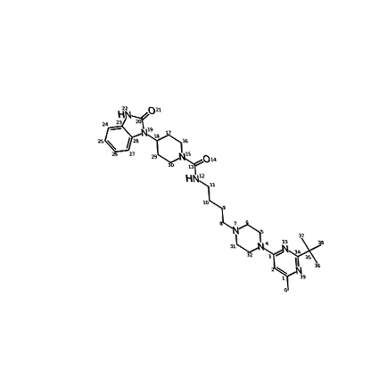 Cc1cc(N2CCN(CCCCNC(=O)N3CCC(n4c(=O)[nH]c5ccccc54)CC3)CC2)nc(C(C)(C)C)n1